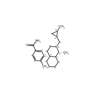 Cc1ccc(C(N)=O)cc1[C@@]12CCCCC1[C@@H](C)N(CC1CC1C)CC2